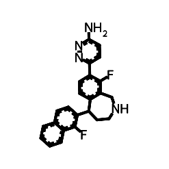 Nc1ccc(-c2ccc3c(c2F)CNCCC3c2ccc3ccccc3c2F)nn1